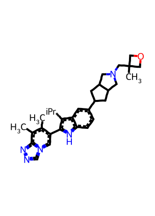 Cc1c(-c2[nH]c3ccc(C4CC5CN(CC6(C)COC6)CC5C4)cc3c2C(C)C)cn2cnnc2c1C